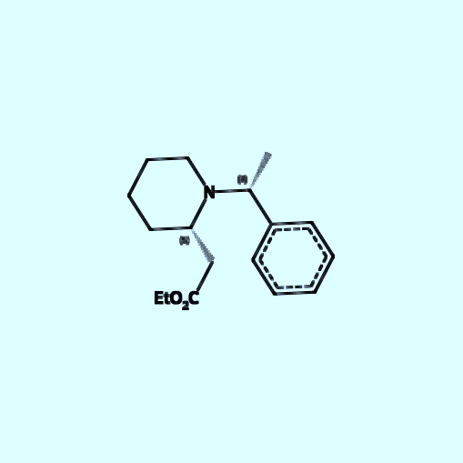 CCOC(=O)C[C@@H]1CCCCN1[C@H](C)c1ccccc1